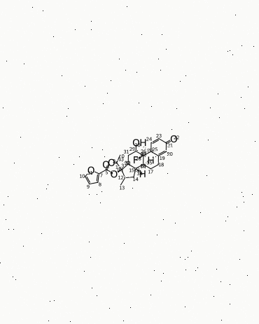 CC(=O)[C@@]1(OC(=O)c2ccco2)C(C)C[C@H]2[C@@H]3CCC4=CC(=O)C=C[C@]4(C)[C@@]3(F)C(O)C[C@@]21C